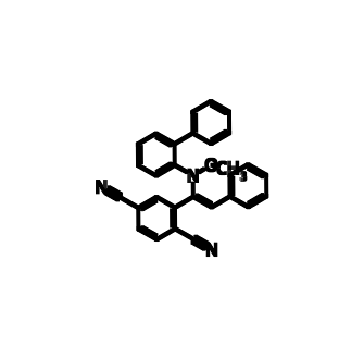 CON(C(=Cc1ccccc1)c1cc(C#N)ccc1C#N)c1ccccc1-c1ccccc1